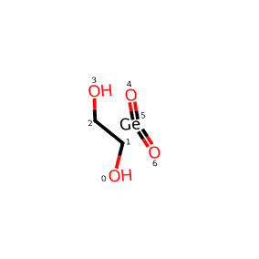 OCCO.[O]=[Ge]=[O]